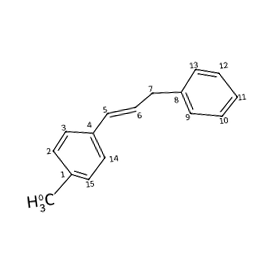 Cc1ccc(C=CCc2ccccc2)cc1